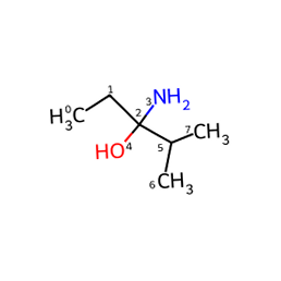 CCC(N)(O)C(C)C